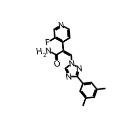 Cc1cc(C)cc(-c2ncn(/C=C(\C(N)=O)c3ccncc3F)n2)c1